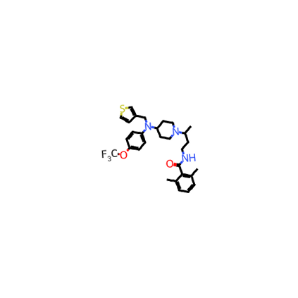 Cc1cccc(C)c1C(=O)NCCC(C)N1CCC(N(Cc2ccsc2)c2ccc(OC(F)(F)F)cc2)CC1